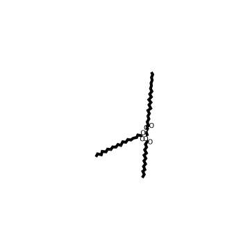 CCCCCCCCCCCCCCCCCCCC(=O)OC[C@@H](COC(=O)CCCCCCCCCCCCC)OC(=O)CCCCCCCCCCCCCCCCCC